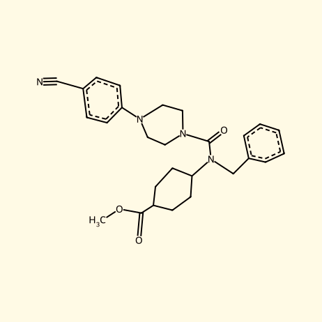 COC(=O)C1CCC(N(Cc2ccccc2)C(=O)N2CCN(c3ccc(C#N)cc3)CC2)CC1